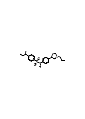 CCCN1CCC(c2ccc(NS(=O)(=O)c3ccc(C(C)CC)cc3)cc2)C1